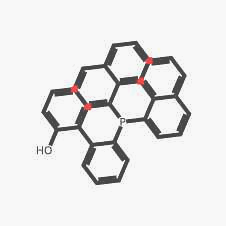 Oc1ccccc1-c1ccccc1P(c1cccc2ccccc12)c1cccc2ccccc12